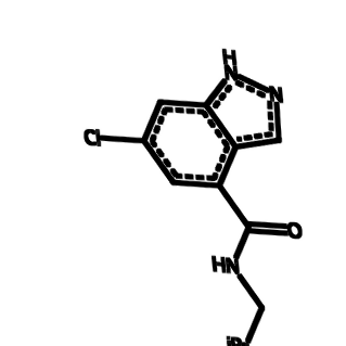 CC(C)CNC(=O)c1cc(Cl)cc2[nH]ncc12